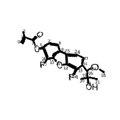 C=C(C)C(=O)Oc1ccc2c(oc3c(F)c(C(OC)C(C)(C)O)ccc32)c1F